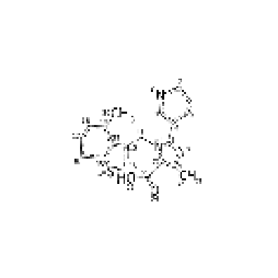 Cc1nc(-c2cccnc2)n(Cc2csc3cccc(C)c23)c1C(=O)O